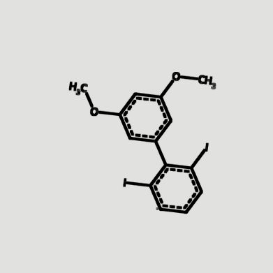 COc1cc(OC)cc(-c2c(I)[c]ccc2I)c1